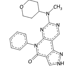 CN(c1ncc2c3n[nH]cc3c(=O)n(-c3ccccc3)c2n1)C1CCOCC1